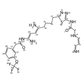 N=C/C=C\NCC(=O)Nc1nnc(CCCC/C(N)=C/C=C(\N)NC(=O)Cc2cccc(OC(F)(F)F)c2)s1